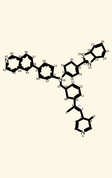 C/C(=C\C1C=CN=CC1C)C1=CC=CC(CN(C2=CC=C(C3=NC4C=CC=CC4S3)CC2)c2ccc(-c3ccc4cnccc4c3)cc2)C1